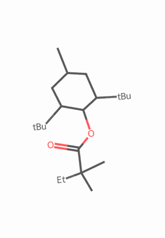 CCC(C)(C)C(=O)OC1C(C(C)(C)C)CC(C)CC1C(C)(C)C